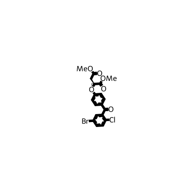 COC(=O)C[C@H](Oc1ccc(C(=O)c2cc(Br)ccc2Cl)cc1)C(=O)OC